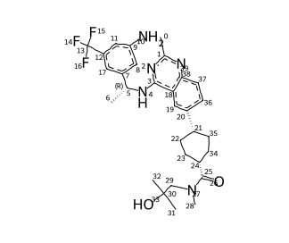 Cc1nc(N[C@H](C)c2cc(N)cc(C(F)(F)F)c2)c2cc([C@H]3CC[C@@H](C(=O)N(C)CC(C)(C)O)CC3)ccc2n1